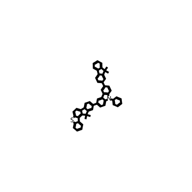 CC1(C)c2ccccc2-c2ccc(-c3ccc4c(c3)c3cc(-c5ccc6c(c5)C(C)(C)c5c-6ccc6sc7ccccc7c56)ccc3n4-c3ccccc3)cc21